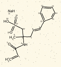 C=CC(=O)NC(C)(CC=Cc1ccccc1)CS(=O)(=O)O.[NaH]